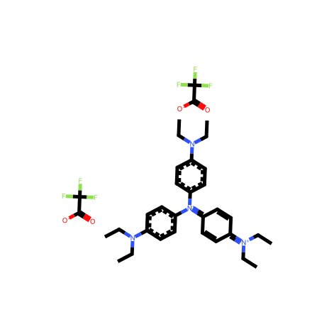 CCN(CC)c1ccc([N+](=C2C=CC(=[N+](CC)CC)C=C2)c2ccc(N(CC)CC)cc2)cc1.O=C([O-])C(F)(F)F.O=C([O-])C(F)(F)F